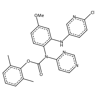 COc1ccc(N(C(=O)Oc2c(C)cccc2C)c2ccncn2)c(Nc2ccc(Cl)nc2)c1